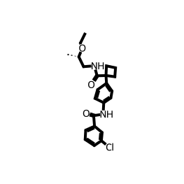 CCO[C@@H](C)CNC(=O)C1(c2ccc(NC(=O)c3cccc(Cl)c3)cc2)CCC1